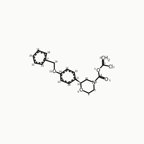 C=C(Cl)OC(=O)N1CCO[C@@H](c2ccc(OCc3ccccc3)cc2)C1